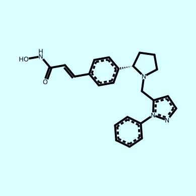 O=C(/C=C/c1ccc([C@@H]2CCCN2Cc2ccnn2-c2ccccc2)cc1)NO